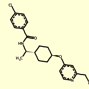 CC(NC(=O)c1ccc(Cl)cc1)[C@H]1CC[C@H](Oc2ccnc(CF)c2)CC1